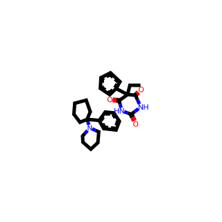 CCC1(c2ccccc2)C(=O)NC(=O)NC1=O.c1ccc(C2(N3CCCCC3)CCCCC2)cc1